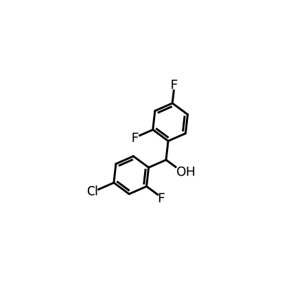 OC(c1ccc(F)cc1F)c1ccc(Cl)cc1F